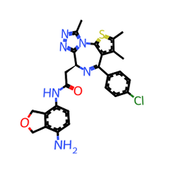 Cc1sc2c(c1C)C(c1ccc(Cl)cc1)=N[C@@H](CC(=O)Nc1ccc(N)c3c1COC3)c1nnc(C)n1-2